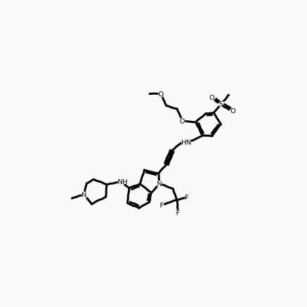 COCCOc1cc(S(C)(=O)=O)ccc1NCC#Cc1cc2c(NC3CCN(C)CC3)cccc2n1CC(F)(F)F